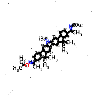 C=C(C)O/N=C(\C)c1ccc2c(c1)C(C)(C)c1cc3c4cc5c(cc4n(C(C)CC)c3cc1-2)-c1ccc(/C(C)=N/OC(C)=O)cc1C5(C)C